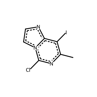 Cc1nc(Cl)n2ccnc2c1I